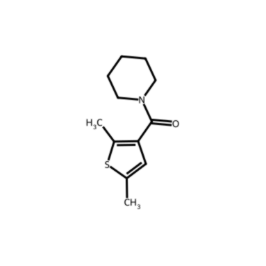 Cc1cc(C(=O)N2CCCCC2)c(C)s1